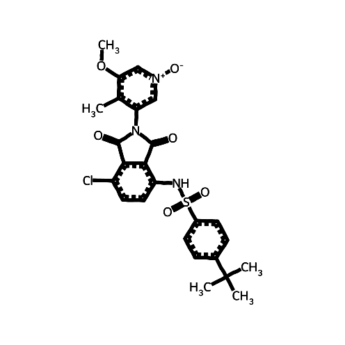 COc1c[n+]([O-])cc(N2C(=O)c3c(Cl)ccc(NS(=O)(=O)c4ccc(C(C)(C)C)cc4)c3C2=O)c1C